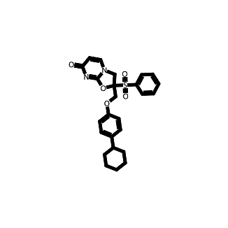 O=c1ccn2c(n1)OC(COc1ccc(C3CCCCC3)cc1)(S(=O)(=O)c1ccccc1)C2